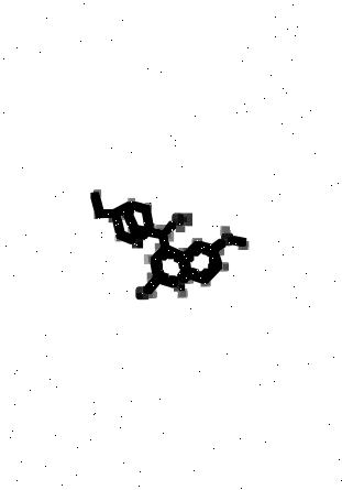 CCC1CN2CCC1CC2[C@@H](O)c1cc(Cl)nc2ccc(OC)cc12